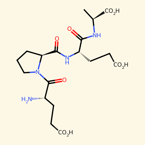 C[C@H](NC(=O)[C@H](CCC(=O)O)NC(=O)[C@@H]1CCCN1C(=O)[C@@H](N)CCC(=O)O)C(=O)O